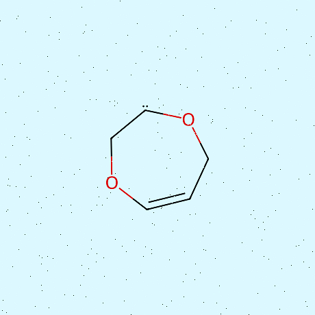 [C]1COC=CCO1